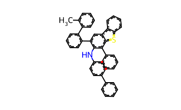 Cc1ccccc1-c1ccccc1-c1cc2c(sc3ccccc32)c(-c2ccccc2)c1Nc1ccc(-c2ccccc2)cc1